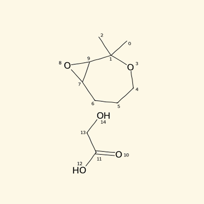 CC1(C)OCCCC2OC21.O=C(O)CO